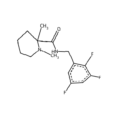 CN1CCCCC1(C)C(=O)NCc1cc(F)cc(F)c1F